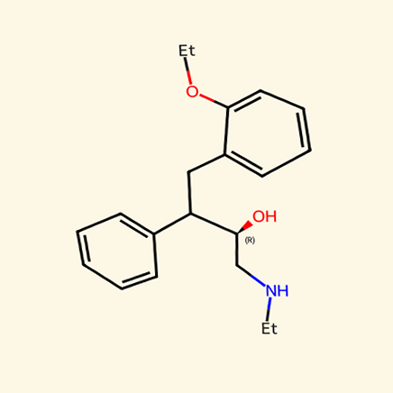 CCNC[C@H](O)C(Cc1ccccc1OCC)c1ccccc1